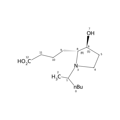 CCCCC(C)N1CC[C@H](O)[C@H]1CCCC(=O)O